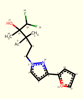 CC(=O)C(C)(CCn1ccc(-c2ccco2)n1)C(C)(O)C(F)F